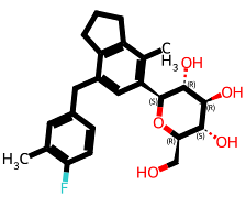 Cc1cc(Cc2cc([C@@H]3O[C@H](CO)[C@@H](O)[C@H](O)[C@H]3O)c(C)c3c2CCC3)ccc1F